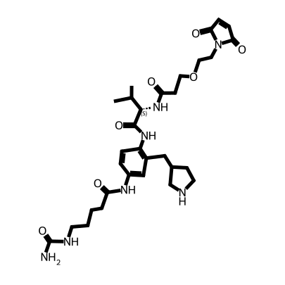 CC(C)[C@H](NC(=O)CCOCCN1C(=O)C=CC1=O)C(=O)Nc1ccc(NC(=O)CCCCNC(N)=O)cc1CC1CCNC1